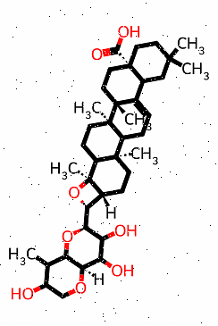 CC1C(O)CO[C@@H]2C(O)C(O)[C@H]([C@@H]3O[C@@]4(C)C5CC[C@]6(C)C(CC=C7C8CC(C)(C)CC[C@]8(C(=O)O)CC[C@]76C)[C@@]5(C)CC[C@H]34)OC12